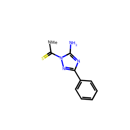 CNC(=S)n1nc(-c2ccccc2)nc1N